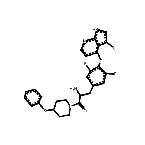 Cc1c[nH]c2nccc(Oc3c(F)cc(CC(N)C(=O)N4CCC(Sc5ccccc5)CC4)cc3F)c12